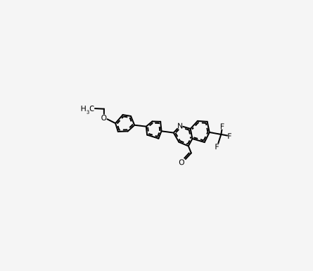 CCOc1ccc(-c2ccc(-c3cc(C=O)c4cc(C(F)(F)F)ccc4n3)cc2)cc1